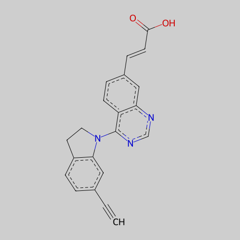 C#Cc1ccc2c(c1)N(c1ncnc3cc(C=CC(=O)O)ccc13)CC2